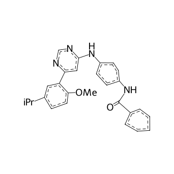 COc1ccc(C(C)C)cc1-c1cc(Nc2ccc(NC(=O)c3ccccc3)cc2)ncn1